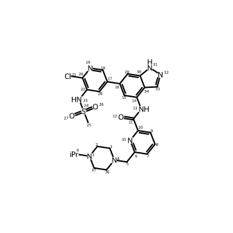 CC(C)N1CCN(Cc2cccc(C(=O)Nc3cc(-c4cnc(Cl)c(NS(C)(=O)=O)c4)cc4[nH]ncc34)n2)CC1